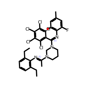 CCc1cccc(CC)c1/N=C(\C)N1CCCN(/C(=N/c2c(C)cc(C)cc2F)c2c(Cl)c(Cl)c(Cl)c(Cl)c2Cl)C1